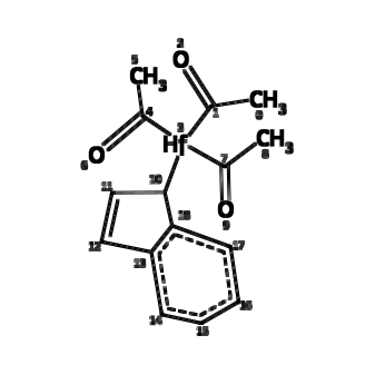 C[C](=O)[Hf]([C](C)=O)([C](C)=O)[CH]1C=Cc2ccccc21